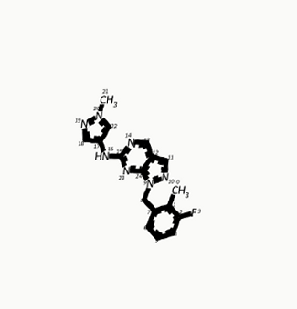 Cc1c(F)cccc1Cn1ncc2cnc(Nc3cnn(C)c3)nc21